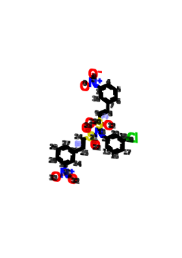 O=[N+]([O-])c1cccc(/C=C/S(=O)(=O)N(c2cccc(Cl)c2)S(=O)(=O)/C=C/c2cccc([N+](=O)[O-])c2)c1